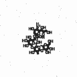 CC1C(O)[C@H](O[C@@H]2OC(CO[C@]3(C(=O)O)C[C@@H](O)[C@@H](N)C(C(O)C(O)CO)O3)[C@H](O)C(O)[C@@H]2O)[C@H](CO)O[C@H]1O[C@@H]1C(O)[C@H](O)C(CO)O[C@@H]1C